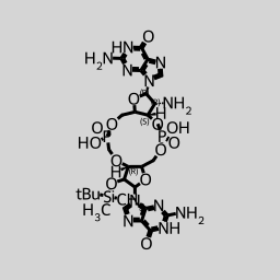 CC(C)(C)[Si](C)(C)OC1C(n2cnc3c(=O)[nH]c(N)nc32)OC2COP(=O)(O)O[C@@H]3C(COP(=O)(O)CO[C@H]21)O[C@@H](n1cnc2c(=O)[nH]c(N)nc21)[C@@H]3N